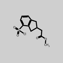 COC(=O)CC1Cc2cccc(S(=O)(=O)Cl)c2C1